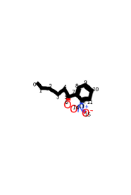 CCCCCC(=O)c1ccccc1[N+](=O)[O-]